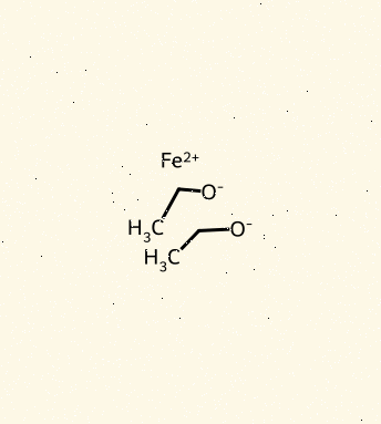 CC[O-].CC[O-].[Fe+2]